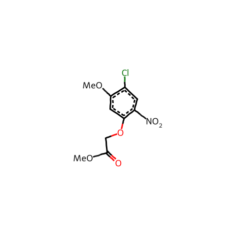 COC(=O)COc1cc(OC)c(Cl)cc1[N+](=O)[O-]